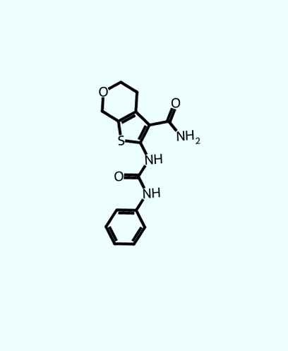 NC(=O)c1c(NC(=O)Nc2ccccc2)sc2c1CCOC2